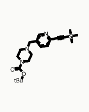 CC(C)(C)OC(=O)N1CCN(Cc2ccc(C#C[Si](C)(C)C)nc2)CC1